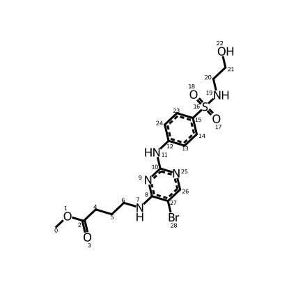 COC(=O)CCCNc1nc(Nc2ccc(S(=O)(=O)NCCO)cc2)ncc1Br